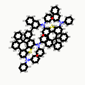 c1ccc(N(c2ccccc2)c2ccc3c4c2sc2c(N(c5ccccc5)c5ccccc5)ccc(c24)C(c2ccccc2)(c2ccc(-c4cc(N(c5ccccc5)c5ccc6c7c5sc5c(N(c8ccccc8)c8ccc9ccccc9c8)ccc(c57)C(c5ccccc5)(c5ccccc5)c5ccccc5-6)cc5ccccc45)cc2)c2ccccc2-3)cc1